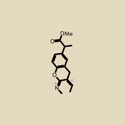 C/C=C1/Cc2cc(C(C)C(=O)OC)ccc2O/C1=N/C